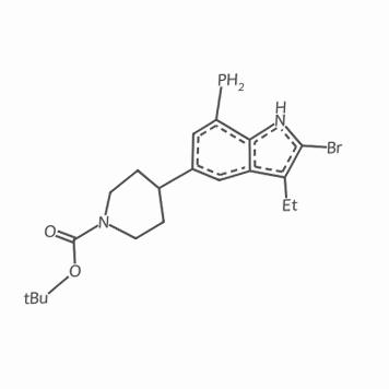 CCc1c(Br)[nH]c2c(P)cc(C3CCN(C(=O)OC(C)(C)C)CC3)cc12